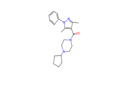 Cc1nn(-c2ccccc2)c(C)c1C(=O)N1CCN(C2CCCC2)CC1